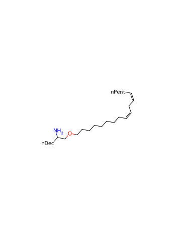 CCCCC/C=C\C/C=C\CCCCCCCCOCC(N)CCCCCCCCCC